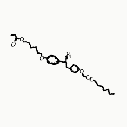 C=CC(=O)OCCCCCCOc1ccc(C(C#N)=Cc2ccc(OCCCCCCCCCC)cc2)cc1